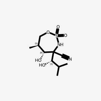 CC(C)[C@H](O)C1(C#N)NS(=O)(=O)OC[C@H](C)[C@H]1O